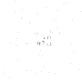 C=CCOC(=O)C[C@](O)(CC(C)(C)O)C(=O)OC1C(OC)=CC23CCCN2CCc2cc4c(cc2[C@H]13)OCO4